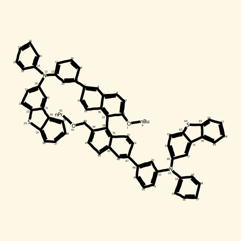 CCCCOc1ccc2cc(-c3cccc(N(c4ccccc4)c4ccc5sc6ccccc6c5c4)c3)ccc2c1-c1c(COCCC)ccc2cc(-c3cccc(N(c4ccccc4)c4ccc5sc6ccccc6c5c4)c3)ccc12